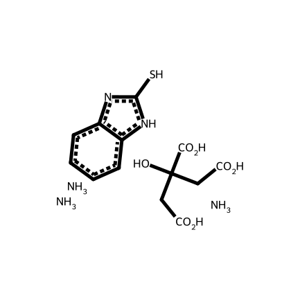 N.N.N.O=C(O)CC(O)(CC(=O)O)C(=O)O.Sc1nc2ccccc2[nH]1